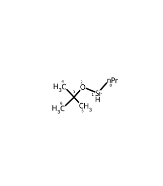 CCC[SiH]OC(C)(C)C